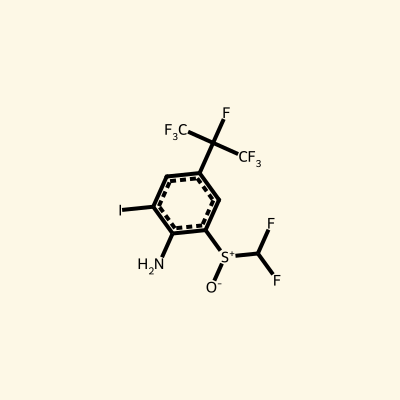 Nc1c(I)cc(C(F)(C(F)(F)F)C(F)(F)F)cc1[S+]([O-])C(F)F